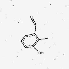 Cc1c(O)cccc1C=O